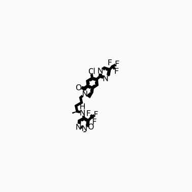 C[C@@H](CCCn1ccc2cc(-c3ncc(C(F)(F)F)cn3)c(Cl)cc2c1=O)Nc1cnn(C)c(=O)c1C(F)(F)F